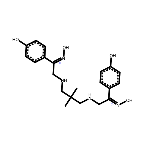 CC(C)(CNC/C(=N/O)c1ccc(O)cc1)CNC/C(=N/O)c1ccc(O)cc1